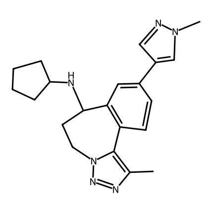 Cc1nnn2c1-c1ccc(-c3cnn(C)c3)cc1C(NC1CCCC1)CC2